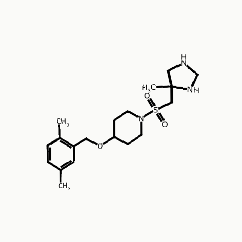 Cc1ccc(C)c(COC2CCN(S(=O)(=O)CC3(C)CNCN3)CC2)c1